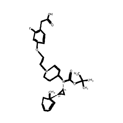 CC(C)(C)OC(=O)N(C1CCN(CCOc2ccc(CC(=O)O)c(F)c2)CC1)[C@@H]1C[C@H]1C1(C)C=CC=CC1